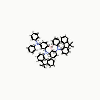 CC1(C)c2ccccc2-c2c(N3c4ccccc4B4c5ccc(N(c6ccccc6)c6ccccc6)cc5N(c5cccc6c5-c5ccccc5C6(C)C)c5cccc3c54)cccc21